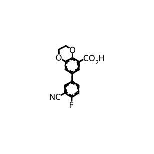 N#Cc1cc(-c2cc3c(c(C(=O)O)c2)OCCO3)ccc1F